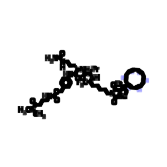 CCC(C)CC(CC)(C1=C/C=C\C=C/C=C\C=C/C=C\1)C1CC(=O)N(CCCCC[C@H](N[C@H](C(=O)N[C@@H](CCCNC(N)=O)C(=O)Nc2ccc(COC(=O)NCCCC(=O)N(C)C)cc2)C(C)C)C(F)(F)F)C1=O